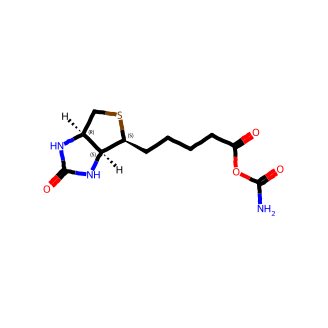 NC(=O)OC(=O)CCCC[C@@H]1SC[C@@H]2NC(=O)N[C@@H]21